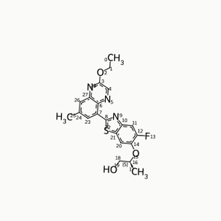 CCOc1cnc2c(-c3nc4cc(F)c(O[C@@H](C)CO)cc4s3)cc(C)cc2n1